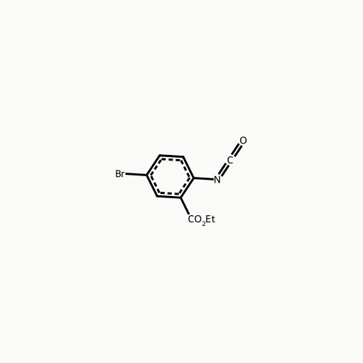 CCOC(=O)c1cc(Br)ccc1N=C=O